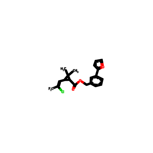 CC1(C)C(C=C(Cl)C(F)(F)F)C1C(=O)OCc1cccc(-c2ccco2)c1